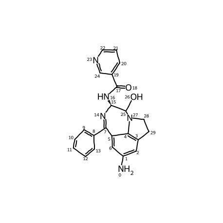 Nc1cc2c3c(c1)C(c1ccccc1)=N[C@@H](NC(=O)c1cccnc1)C(O)N3CC2